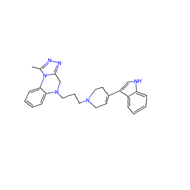 Cc1nnc2n1-c1ccccc1N(CCCN1CC=C(c3c[nH]c4ccccc34)CC1)C2